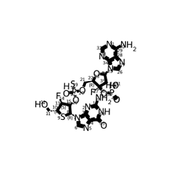 Nc1nc2c(ncn2[C@@H]2S[C@H](CO)[C@@H](F)[C@H]2OP(O)(=S)OC[C@H]2O[C@@H](n3cnc4c(N)ncnc43)C[C@@]2(F)O[PH](=O)O)c(=O)[nH]1